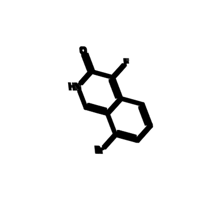 O=c1[nH]cc2c(Br)cccc2c1F